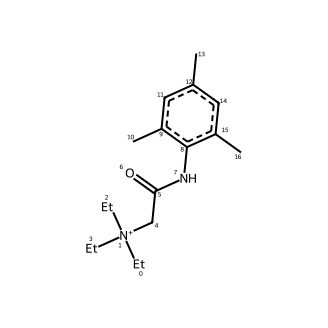 CC[N+](CC)(CC)CC(=O)Nc1c(C)cc(C)cc1C